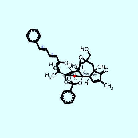 C=C(C)[C@@]12OC3(c4ccccc4)O[C@@H]1[C@@H]1C4OC4(CO)C[C@]4(O)C(=O)C(C)=C[C@H]4[C@@]1(O3)[C@H](C)[C@H]2OC(=O)/C=C/C=C/c1ccccc1